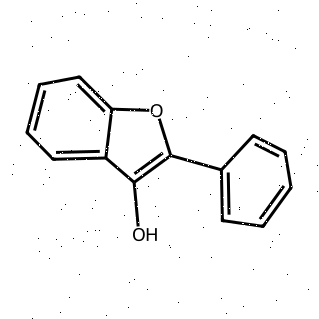 Oc1c(-c2ccccc2)oc2ccccc12